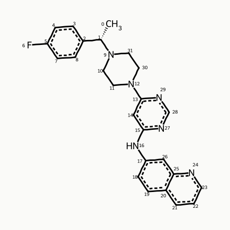 C[C@@H](c1ccc(F)cc1)N1CCN(c2cc(Nc3ccc4cccnc4c3)ncn2)CC1